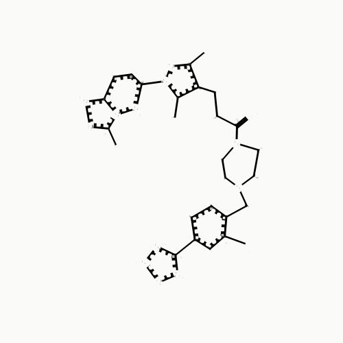 Cc1nn(-c2ccc3nnc(C)n3n2)c(C)c1CCC(=O)N1CCN(Cc2ccc(-c3nnn[nH]3)cc2Cl)CC1